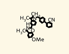 COc1ccc([C@H](C)NC(=O)c2ccc3c(c2)c(C)c(C)n3Cc2ccc(-c3ccccc3C#N)cc2)cc1